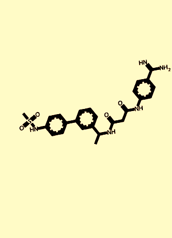 CC(NC(=O)CC(=O)Nc1ccc(C(=N)N)cc1)c1cccc(-c2ccc(NS(C)(=O)=O)cc2)c1